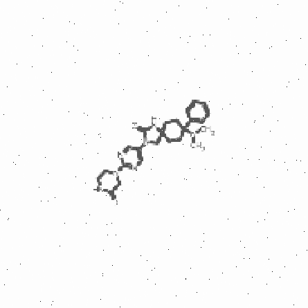 CN(C)C1(c2ccccc2)CCC2(CC1)CN(c1cnc(N3CCNC(=O)C3)nc1)C(=O)N2